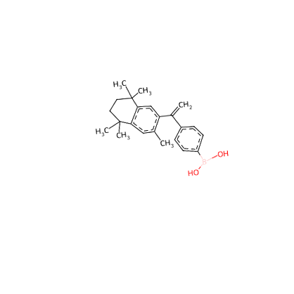 C=C(c1ccc(B(O)O)cc1)c1cc2c(cc1C)C(C)(C)CCC2(C)C